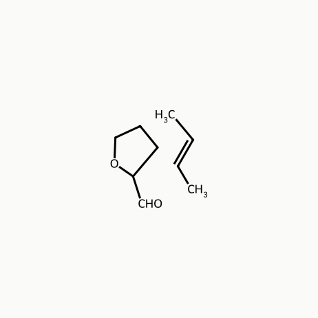 CC=CC.O=CC1CCCO1